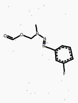 CN(COC=O)/N=N/c1cccc(F)c1